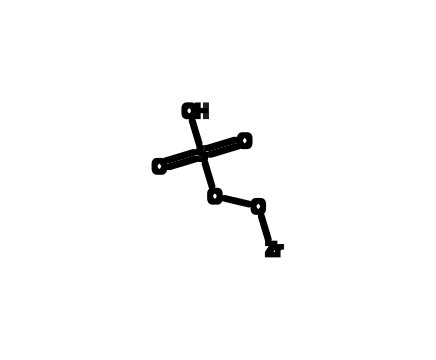 O=S(=O)(O)O[O][Zr]